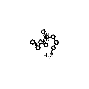 CCCc1ccc(-c2cccc(-c3cccc(-c4nc(-c5ccccc5)nc(-n5c6ccccc6c6c7c8ccccc8n(-c8ccccc8)c7ccc65)n4)c3)c2)cc1